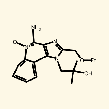 CCOCc1nc2c(N)[n+]([O-])c3ccccc3c2n1CC(C)(C)O